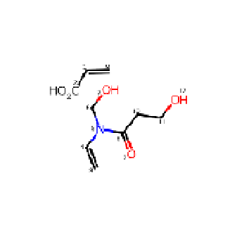 C=CC(=O)O.C=CN(CO)C(=O)CCO